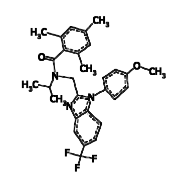 COc1ccc(-n2c(CN(C(=O)c3c(C)cc(C)cc3C)C(C)C)nc3cc(C(F)(F)F)ccc32)cc1